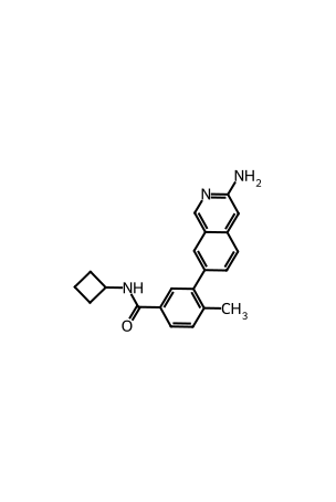 Cc1ccc(C(=O)NC2CCC2)cc1-c1ccc2cc(N)ncc2c1